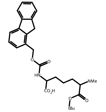 CNC(CCCC(NC(=O)OCc1cccc2c1Cc1ccccc1-2)C(=O)O)C(=O)OC(C)(C)C